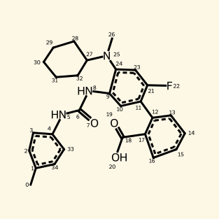 Cc1ccc(NC(=O)Nc2cc(-c3ccccc3C(=O)O)c(F)cc2N(C)C2CCCCC2)cc1